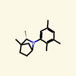 Cc1cc(C)c(C)c(N2C3CCC(C)(C3)[C@@H]2C)c1